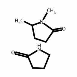 CC1CCC(=O)N1C.O=C1CCCN1